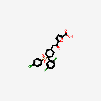 O=C(O)c1ccc(C(=O)CC2CCC(c3cc(F)ccc3F)(S(=O)(=O)c3ccc(Cl)cc3)CC2)o1